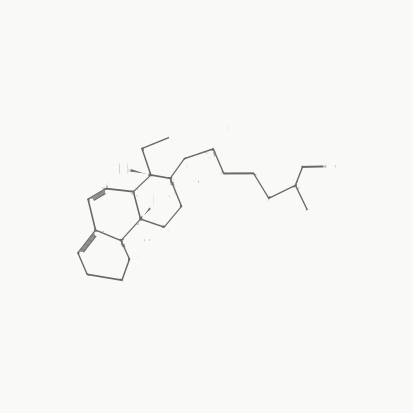 CC(CO)CCC[C@@H](C)[C@H]1CC[C@H]2[C@@H]3C=CC4=CCCC[C@]4(C)[C@H]3CC[C@]12C